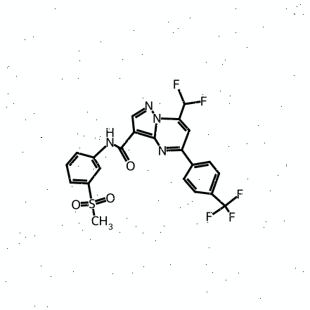 CS(=O)(=O)c1cccc(NC(=O)c2cnn3c(C(F)F)cc(-c4ccc(C(F)(F)F)cc4)nc23)c1